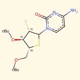 CCCCOC[C@H]1SC(n2ccc(N)nc2=O)[C@@H](F)[C@@H]1OCCCC